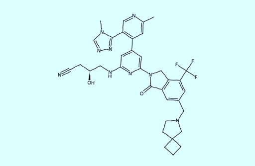 Cc1cc(-c2cc(NC[C@@H](O)CC#N)nc(N3Cc4c(cc(CN5CCC6(CCC6)C5)cc4C(F)(F)F)C3=O)c2)c(-c2nncn2C)cn1